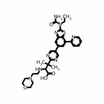 CCN(C(N)=O)c1nc2cc(-c3cnc(C(C)(C)C(NCCN4CCOCC4)C(=O)O)nc3)cc(-c3ccccn3)c2s1